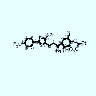 CCC(Oc1cc2onc(CCc3sc(-c4ccc(C(F)(F)F)cc4)nc3C(C)C)c2cc1C)C(=O)O